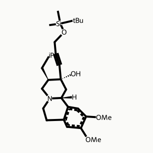 COc1cc2c(cc1OC)[C@H]1C[C@](O)(C#CCO[Si](C)(C)C(C)(C)C)[C@H](CC(C)C)CN1CC2